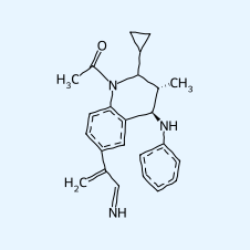 C=C(C=N)c1ccc2c(c1)[C@H](Nc1ccccc1)[C@@H](C)C(C1CC1)N2C(C)=O